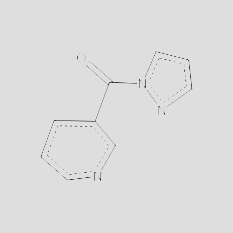 O=C(c1cccnc1)n1cccn1